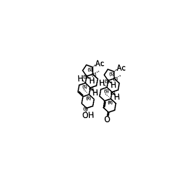 CC(=O)[C@H]1CC[C@H]2[C@@H]3CC=C4C[C@@H](O)CC[C@]4(C)[C@H]3CC[C@]12C.CC(=O)[C@H]1CC[C@H]2[C@@H]3CCC4=CC(=O)CC[C@]4(C)[C@H]3CC[C@]12C